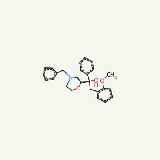 COc1ccccc1C[C@@](O)(c1ccccc1)C1CN(Cc2ccccc2)CCO1